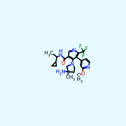 COc1cc(-c2c(C(F)(F)F)ncc(C(=O)NC(C)C3CC3)c2N2CC[C@](C)(N)C2)ccn1